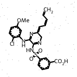 C=C/C=C\C=C1/CN=C(NS(=O)(=O)c2cccc(C(=O)O)c2)C(Nc2cc(OC)ccc2Cl)=N1